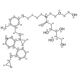 Cc1ccc(SCCCCN(CCOCCO)C(=O)CC(O)C(O)[C@@H](O)CO)cc1COC1(c2cnccc2-c2ccccc2OC2CC2)CC1